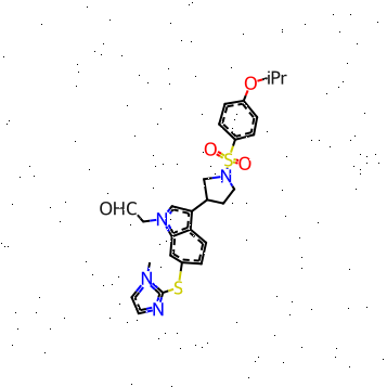 CC(C)Oc1ccc(S(=O)(=O)N2CCC(c3cn(CC=O)c4cc(Sc5nccn5C)ccc34)C2)cc1